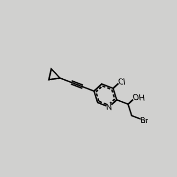 OC(CBr)c1ncc(C#CC2CC2)cc1Cl